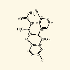 C[C@H](OC(N)=O)N1Cc2ccc(F)cc2C(=O)C1c1cccc(F)c1